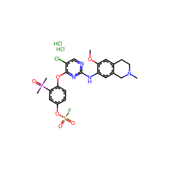 COc1cc2c(cc1Nc1ncc(Cl)c(Oc3ccc(OS(=O)(=O)F)cc3P(C)(C)=O)n1)CN(C)CC2.Cl.Cl